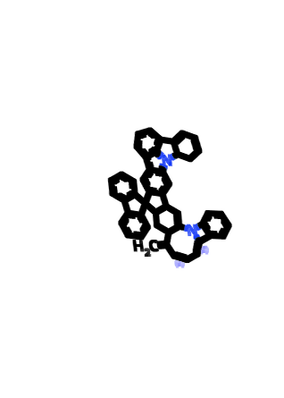 C=C1/C=C\C=C2\c3ccccc3N2C2=CC3c4cc5c(cc4C4(c6ccccc6-c6ccccc64)C3CC12)c1cccc2c1n5C1CC=CC=C21